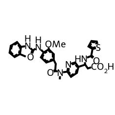 COc1cc(CC(=O)N(C)c2ccc(C(CC(=O)O)NC(=O)c3cccs3)cn2)ccc1NC(=O)Nc1ccccc1C